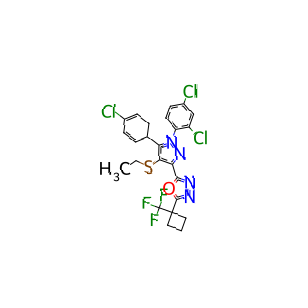 CCSc1c(-c2nnc(C3(C(F)(F)F)CCC3)o2)nn(-c2ccc(Cl)cc2Cl)c1C1C=CC(Cl)=CC1